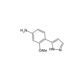 COc1cc(N)ccc1-c1ccn[nH]1